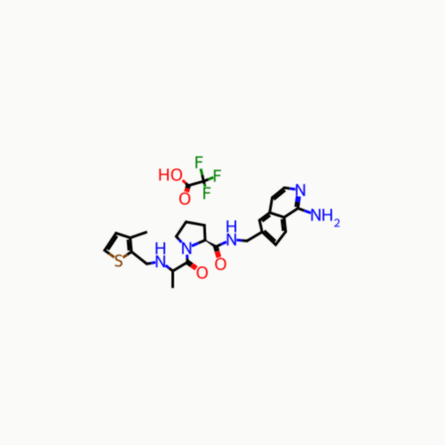 Cc1ccsc1CNC(C)C(=O)N1CCC[C@H]1C(=O)NCc1ccc2c(N)nccc2c1.O=C(O)C(F)(F)F